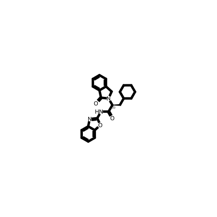 O=C(Nc1nc2ccccc2o1)[C@H](CC1CCCCC1)N1Cc2ccccc2C1=O